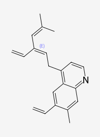 C=C/C(C=C(C)C)=C\Cc1ccnc2cc(C)c(C=C)cc12